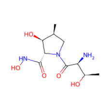 C[C@@H](O)[C@H](N)C(=O)N1C[C@H](C)[C@H](O)[C@H]1C(=O)NO